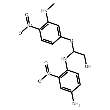 CNc1cc(OC(CO)Nc2ccc(N)cc2[N+](=O)[O-])ccc1[N+](=O)[O-]